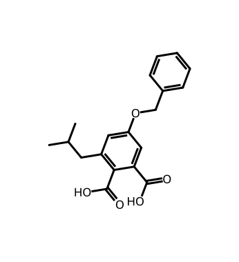 CC(C)Cc1cc(OCc2ccccc2)cc(C(=O)O)c1C(=O)O